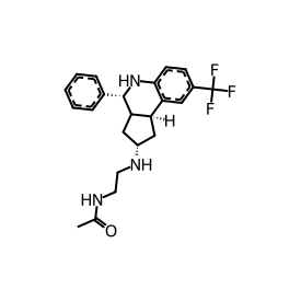 CC(=O)NCCN[C@@H]1CC2[C@H](C1)c1cc(C(F)(F)F)ccc1N[C@H]2c1ccccc1